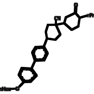 CCCCCCOc1ccc(-c2ccc(C3CCC(C#N)(C4CCC(CCC)C(=O)C4)CC3)cc2)cc1